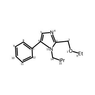 CCOCc1ncc(-c2ccccc2)n1CC(C)C